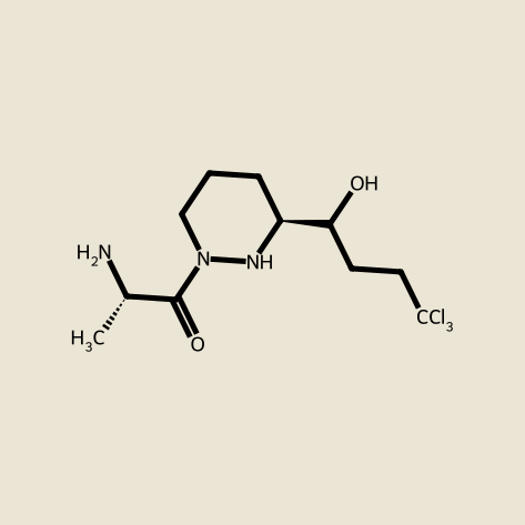 C[C@H](N)C(=O)N1CCC[C@@H](C(O)CCC(Cl)(Cl)Cl)N1